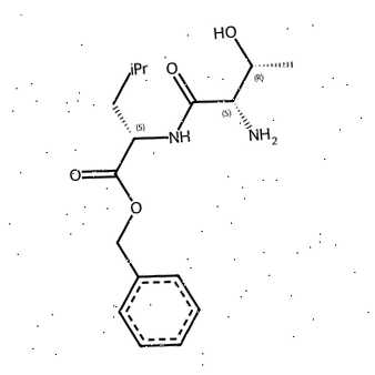 CC(C)C[C@H](NC(=O)[C@@H](N)[C@@H](C)O)C(=O)OCc1ccccc1